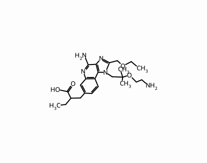 CCOCc1nc2c(N)nc3cc(CC(CC)C(=O)O)ccc3c2n1CC(C)(C)OCCN